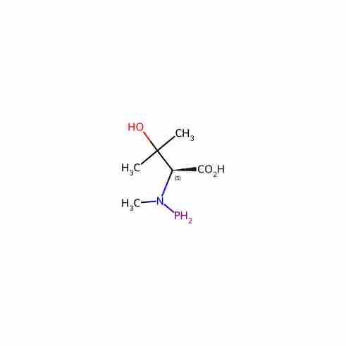 CN(P)[C@H](C(=O)O)C(C)(C)O